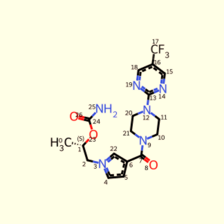 C[C@@H](Cn1ccc(C(=O)N2CCN(c3ncc(C(F)(F)F)cn3)CC2)c1)OC(N)=O